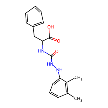 Cc1cccc(NNC(=O)NC(Cc2ccccc2)C(=O)O)c1C